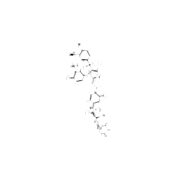 COc1cc(-n2c(C(C)(C)c3ccc(F)c(C#N)c3)cnc2SCc2ccc(S(=O)(=O)NC(=O)NN3CCCC3)cc2Cl)ccc1F